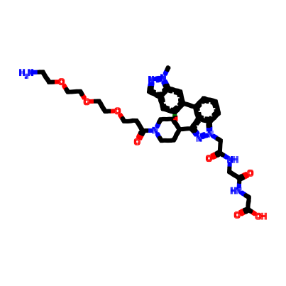 Cn1ncc2cc(F)c(-c3cccc4c3c(C3CCN(C(=O)CCOCCOCCOCCN)CC3)nn4CC(=O)NCC(=O)NCC(=O)O)cc21